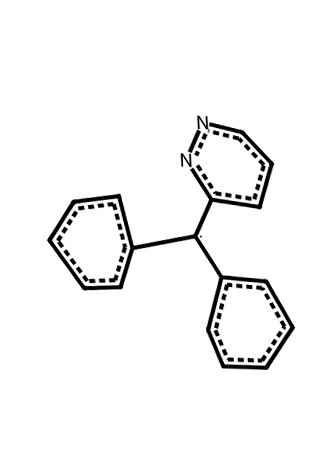 c1ccc([C](c2ccccc2)c2cccnn2)cc1